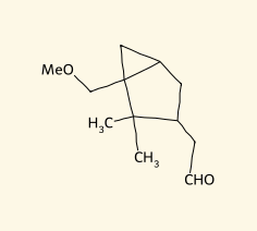 COCC12CC1CC(CC=O)C2(C)C